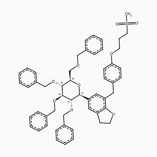 CS(=O)(=O)CCCOc1ccc(Cc2cc([C@@H]3O[C@H](COCc4ccccc4)[C@@H](OCc4ccccc4)[C@H](OCc4ccccc4)[C@H]3OCc3ccccc3)cc3c2OCC3)cc1